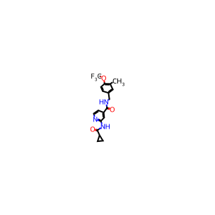 Cc1cc(CNC(=O)c2ccnc(NC(=O)C3CC3)c2)ccc1OC(F)(F)F